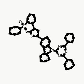 O=S1(c2ccccc2)=Nc2sc(-c3ccc4c(c3)c3ccccc3n4-c3nc(-c4ccccc4)nc(-c4ccccc4)n3)cc2-c2ccccc21